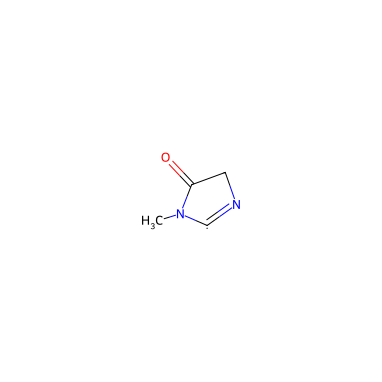 CN1[C]=NCC1=O